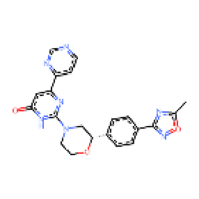 Cc1nc(-c2ccc([C@H]3CN(c4nc(-c5ccncn5)cc(=O)[nH]4)CCO3)cc2)no1